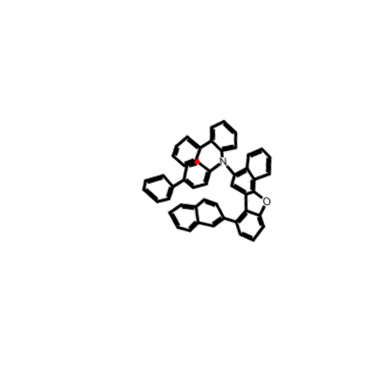 c1ccc(-c2ccc(N(c3ccccc3-c3ccccc3)c3cc4c(oc5cccc(-c6ccc7ccccc7c6)c54)c4ccccc34)cc2)cc1